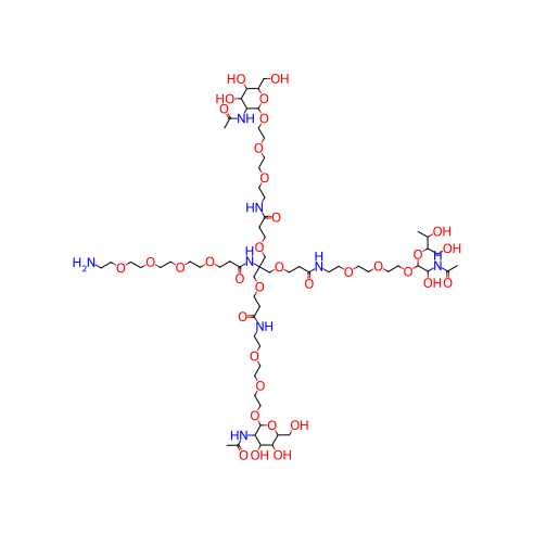 CC(=O)NC(O)C(OCCOCCOCCNC(=O)CCOCC(COCCC(=O)NCCOCCOCCOC1OC(CO)C(O)C(O)C1NC(C)=O)(COCCC(=O)NCCOCCOCCOC1OC(CO)C(O)C(O)C1NC(C)=O)NC(=O)CCOCCOCCOCCOCCN)OC(CO)C(C)O